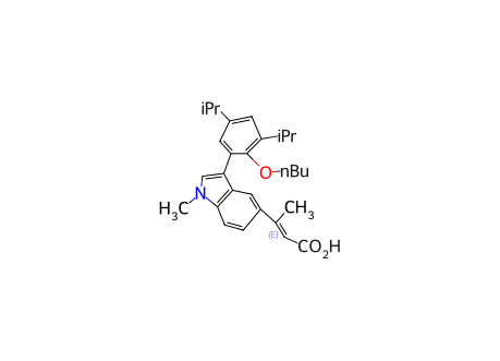 CCCCOc1c(-c2cn(C)c3ccc(/C(C)=C/C(=O)O)cc23)cc(C(C)C)cc1C(C)C